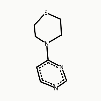 c1cc(N2CCSCC2)ncn1